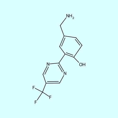 NCc1ccc(O)c(-c2ncc(C(F)(F)F)cn2)c1